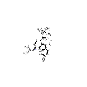 CN(C)/C=C1\CCN(C(=O)OC(C)(C)C)C(C2(c3ccc(Cl)cc3)CCC2)C1=O